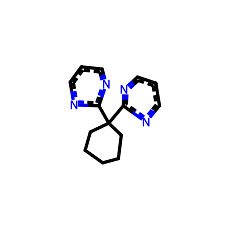 c1cnc(C2(c3ncccn3)CCCCC2)nc1